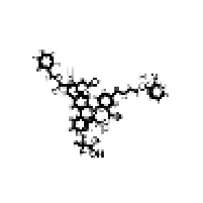 Nc1ncccc1OCCCCc1ccc2c(c1)C(=O)NCC(=O)N2c1ccc(C[C@@]2(C(=O)OCc3ccccc3)NC2(C=O)CC=O)cc1-c1ccccc1.O=C(O)C(F)(F)F